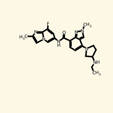 CCNC1CCN(c2ccc(C(=O)Nc3cc(F)c4nc(C)cn4c3)c3nn(C)cc23)C1